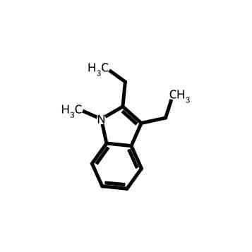 CCc1c(CC)n(C)c2ccccc12